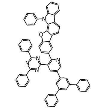 c1ccc(-c2cc(-c3ccccc3)cc(-c3cnc(-c4ccc5oc6c(ccc7c8ccccc8n(-c8ccccc8)c76)c5c4)c(-c4nc(-c5ccccc5)nc(-c5ccccc5)n4)c3)c2)cc1